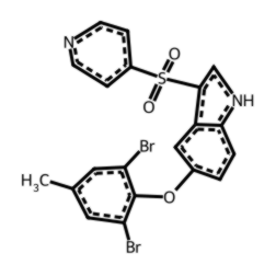 Cc1cc(Br)c(Oc2ccc3[nH]cc(S(=O)(=O)c4ccncc4)c3c2)c(Br)c1